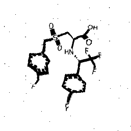 O=C(O)[C@H](CS(=O)(=O)Cc1ccc(F)cc1)N[C@@H](c1ccc(F)cc1)C(F)(F)F